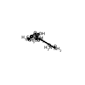 Cc1ncsc1-c1ccc(CNC(=O)[C@@H]2C[C@@H](O)CN2C(=O)[C@@H](NC(=O)CCCCCCCCCOC[C@@H](N)CCC(N)=O)C(C)(C)C)cc1